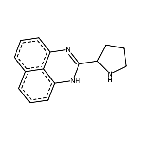 c1cc2c3c(cccc3c1)NC(C1CCCN1)=N2